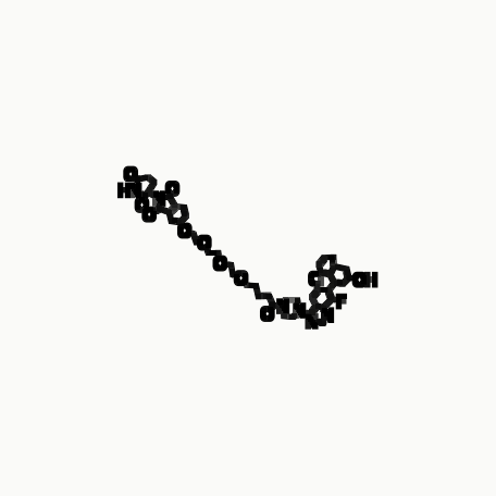 O=C1CCC(N2C(=O)c3ccc(OCCOCCOCCOCC/C=C/C(=O)N4CCN(c5ncnc6c(F)c(-c7cc(O)cc8ccccc78)c(Cl)cc56)CC4)cc3C2=O)C(=O)N1